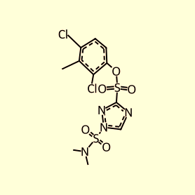 Cc1c(Cl)ccc(OS(=O)(=O)c2ncn(S(=O)(=O)N(C)C)n2)c1Cl